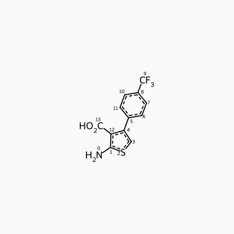 Nc1scc(-c2ccc(C(F)(F)F)cc2)c1C(=O)O